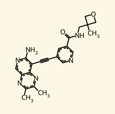 Cc1nc2cnc(N)c(C#Cc3cncc(C(=O)NCC4(C)COC4)c3)c2nc1C